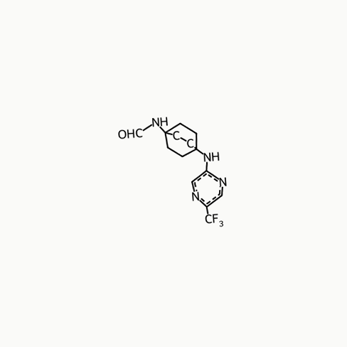 O=CNC12CCC(Nc3cnc(C(F)(F)F)cn3)(CC1)CC2